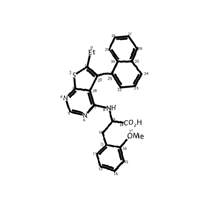 CCc1sc2ncnc(NC(Cc3ccccc3OC)C(=O)O)c2c1-c1cccc2ccccc12